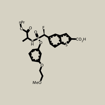 CCCOC(=O)C(C)NP(=O)(Oc1cccc(OCCOC)c1)[C@@H](F)c1ccc2sc(C(=O)O)cc2c1